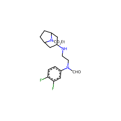 CCOC(=O)N1C2CCC1CC(NCCN(C=O)c1ccc(F)c(F)c1)C2